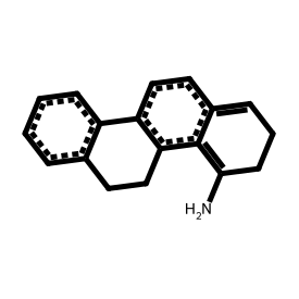 NC1=c2c3c(ccc2=CCC1)-c1ccccc1CC3